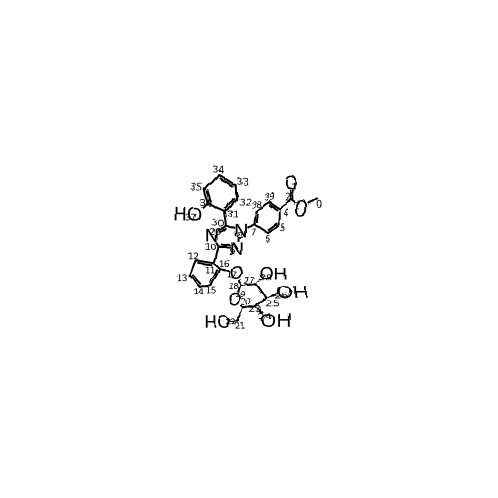 COC(=O)c1ccc(-n2nc(-c3ccccc3O[C@@H]3O[C@H](CO)[C@H](O)[C@H](O)[C@H]3O)nc2-c2ccccc2O)cc1